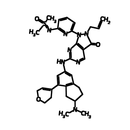 C=CCn1c(=O)c2cnc(Nc3cc4c(c(C5=CCOCC5)c3)CC(N(C)C)CC4)nc2n1-c1cccc(N=S(C)(C)=O)n1